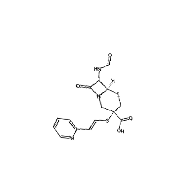 O=CNC1C(=O)N2CC(SC=Cc3ccccn3)(C(=O)O)CS[C@H]12